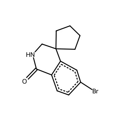 O=C1NCC2(CCCC2)c2cc(Br)ccc21